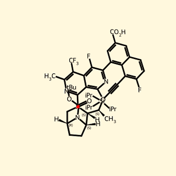 Cc1nc2c3c(nc(-c4cc(C(=O)O)cc5ccc(F)c(C#C[Si](C(C)C)(C(C)C)C(C)C)c45)c(F)c3c1C(F)(F)F)O[C@@H](C)[C@@H]1[C@@H]3CC[C@H](CN21)N3C(=O)OC(C)(C)C